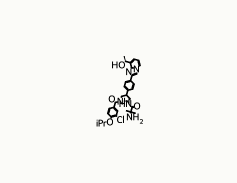 CC(C)Oc1ccc(C(=O)NCC(CNC(=O)C(C)(C)N)c2ccc(-c3cn4cccc([C@H](C)O)c4n3)cc2)cc1Cl